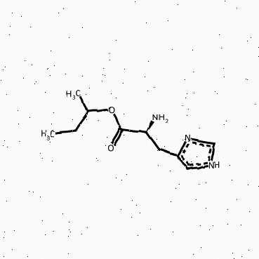 CCC(C)OC(=O)[C@@H](N)Cc1c[nH]cn1